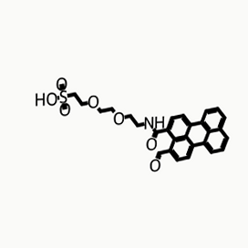 O=Cc1ccc2c3cccc4cccc(c5ccc(C(=O)NCCOCCOCCS(=O)(=O)O)c1c25)c43